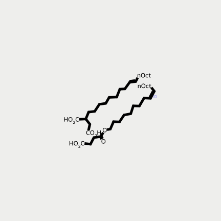 CCCCCCCC/C=C\CCCCCCCCOC(=O)CCC(=O)O.CCCCCCCCC=CCCCCCCCCC(CC(=O)O)C(=O)O